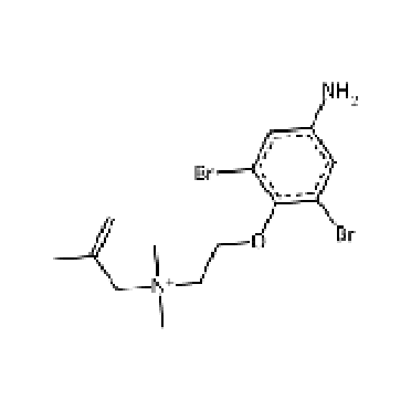 C=C(C)C[N+](C)(C)CCOc1c(Br)cc(N)cc1Br